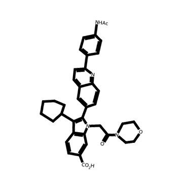 CC(=O)Nc1ccc(-c2ccc3cc(-c4c(C5CCCCC5)c5ccc(C(=O)O)cc5n4CC(=O)N4CCOCC4)ccc3n2)cc1